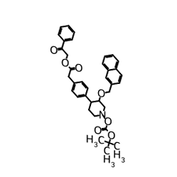 CC(C)(C)OC(=O)ON1CCC(c2ccc(CC(=O)OCC(=O)c3ccccc3)cc2)C(OCc2ccc3ccccc3c2)C1